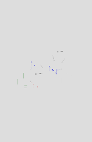 O[C@@H](c1cncc(-n2nc(C(F)(F)F)c3ccccc32)c1)C(F)(F)F